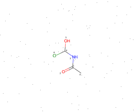 CC(=O)NC(O)Cl